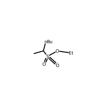 CCCCC(C)S(=O)(=O)OCC